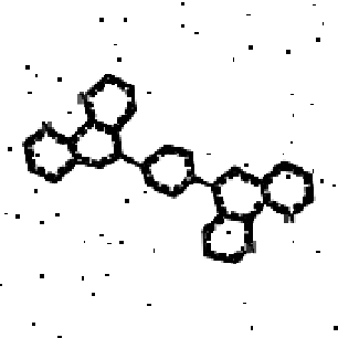 c1cnc2c(c1)cc(-c1ccc(-c3cc4cccnc4c4ncccc34)cc1)c1cccnc12